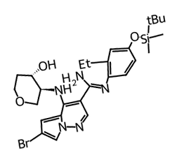 CCc1cc(O[Si](C)(C)C(C)(C)C)ccc1/N=C(\N)c1cnn2cc(Br)cc2c1N[C@H]1COCC[C@@H]1O